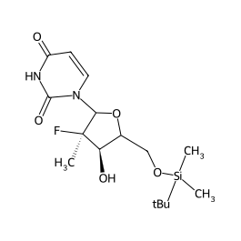 CC(C)(C)[Si](C)(C)OCC1OC(n2ccc(=O)[nH]c2=O)[C@](C)(F)[C@@H]1O